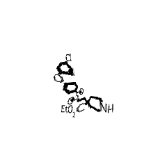 CCOC(=O)C1(CCS(=O)(=O)c2ccc(Oc3ccc(Cl)cc3)cc2)CCNCC1